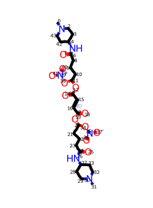 CN1CCC(NC(=O)CCCC(OC(=O)/C=C/C(=O)OC(CCCC(=O)NC2CCN(C)CC2)O[N+](=O)[O-])O[N+](=O)[O-])CC1